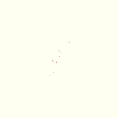 O=C(CCCCCl)OCOC(=O)CCCCCl